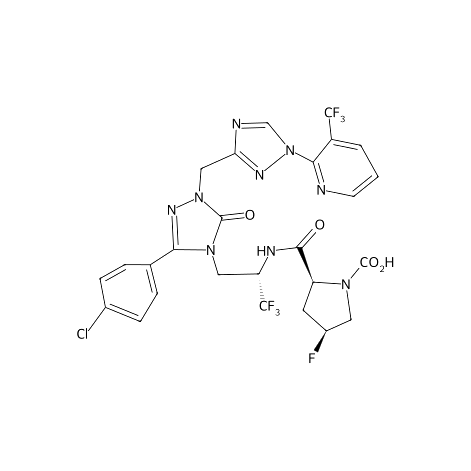 O=C(N[C@@H](Cn1c(-c2ccc(Cl)cc2)nn(Cc2ncn(-c3ncccc3C(F)(F)F)n2)c1=O)C(F)(F)F)[C@@H]1C[C@H](F)CN1C(=O)O